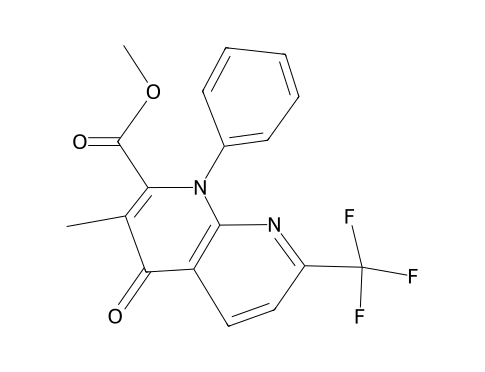 COC(=O)c1c(C)c(=O)c2ccc(C(F)(F)F)nc2n1-c1ccccc1